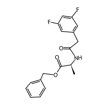 C[C@H](NC(=O)Cc1cc(F)cc(F)c1)C(=O)OCc1ccccc1